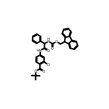 CC(C)(C)OC(=O)c1ccc(NC(=O)C(NC(=O)OCC2c3ccccc3-c3ccccc32)c2ccccc2)cc1Cl